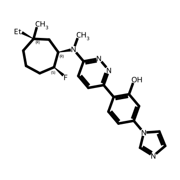 CC[C@]1(C)CCC[C@H](F)[C@H](N(C)c2ccc(-c3ccc(-n4ccnc4)cc3O)nn2)C1